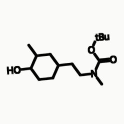 CC1CC(CCN(C)C(=O)OC(C)(C)C)CCC1O